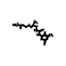 Cc1cc(=O)nc(NC(=O)NCC(C)CCCCNC(=O)O)[nH]1